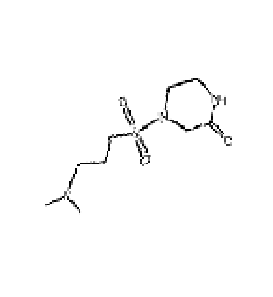 CN(C)CCCS(=O)(=O)N1CCNC(=O)C1